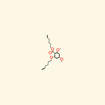 C=CCCCCOC(=O)c1c(OC)cc(OC)cc1OCCCCC=C